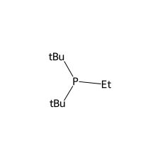 CCP(C(C)(C)C)C(C)(C)C